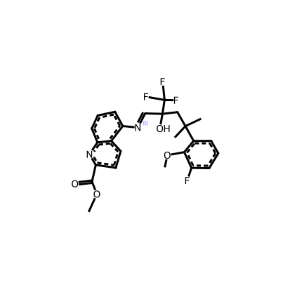 COC(=O)c1ccc2c(/N=C/C(O)(CC(C)(C)c3cccc(F)c3OC)C(F)(F)F)cccc2n1